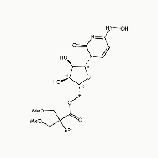 CCCC(COC)(COC)C(=O)OC[C@H]1O[C@@H](n2ccc(NO)nc2=O)[C@H](O)[C@@H]1O